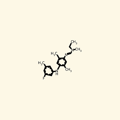 CCN(C)/C=N/c1cc(C)c(Nc2cc(C)cc(F)c2)cc1C